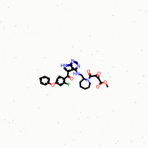 COC(=O)C1OC1C(=O)N1CCCCCC1CNc1ncnc2[nH]cc(C(=O)c3ccc(Oc4ccccc4)cc3F)c12